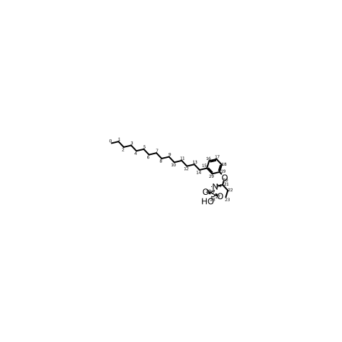 CCCCCCCCCCCCCCCc1cccc(OC(CC)[N]S(=O)(=O)O)c1